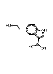 NCCc1ccc2[nH]cc(B(O)O)c2c1